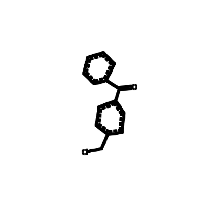 O=C(c1ccccc1)c1ccc(CCl)cc1